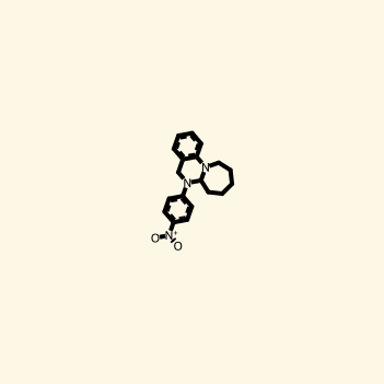 O=[N+]([O-])c1ccc(N2Cc3ccccc3N3CCCCCC23)cc1